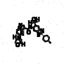 CC(C)(O)c1cc2nc([C@H]3CC[C@H](C)CC3)sc2cc1NC(=O)c1cnn2ccc(N3C[C@H]4C[C@@H]3CO4)nc12